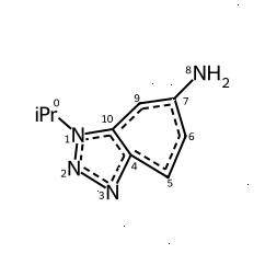 CC(C)n1nnc2ccc(N)cc21